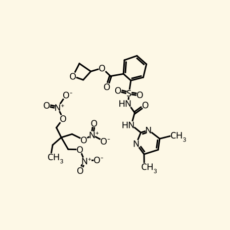 CCC(CO[N+](=O)[O-])(CO[N+](=O)[O-])CO[N+](=O)[O-].Cc1cc(C)nc(NC(=O)NS(=O)(=O)c2ccccc2C(=O)OC2COC2)n1